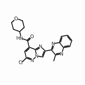 Cc1nc2ccccc2nc1-c1cn2nc(Cl)cc(C(=O)NC3CCOCC3)c2n1